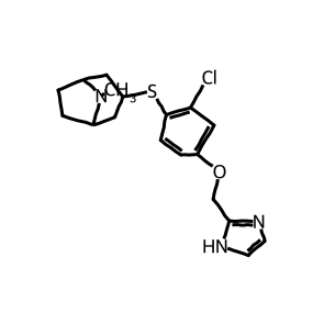 CN1C2CCC1CC(Sc1ccc(OCc3ncc[nH]3)cc1Cl)C2